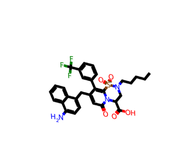 CCCCCN1CC(C(=O)O)n2c(c(-c3cccc(C(F)(F)F)c3)c(Cc3ccc(N)c4ccccc34)cc2=O)S1(=O)=O